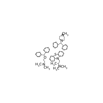 CC(CN1c2ccccc2Sc2ccccc21)N(C)C.CN(C)CCOC(c1ccccc1)c1ccccc1.CN1CCN(C(c2ccccc2)c2ccccc2)CC1